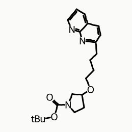 CC(C)(C)OC(=O)N1CCC(OCCCCc2ccc3cccnc3n2)C1